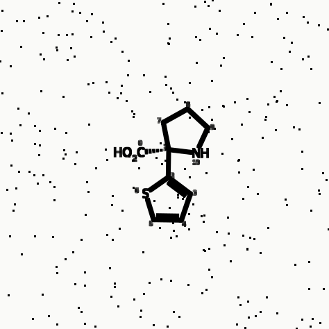 O=C(O)[C@]1(c2cccs2)CCCN1